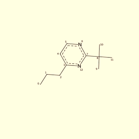 CCCc1ccnc(C(C)(C)C)n1